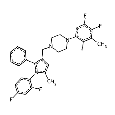 Cc1c(F)c(F)cc(N2CCN(Cc3cc(C)n(-c4ccc(F)cc4F)c3-c3ccccc3)CC2)c1F